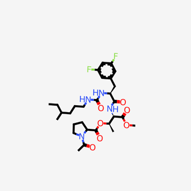 CCC(C)CCCNC(=O)N[C@@H](Cc1cc(F)cc(F)c1)C(=O)N[C@H](C(=O)OC)[C@@H](C)OC(=O)C1CCCN1C(C)=O